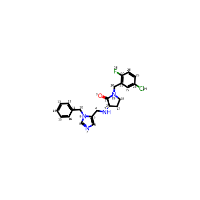 O=C1[C@@H](NCc2cncn2Cc2ccccc2)CCN1Cc1cc(Cl)ccc1F